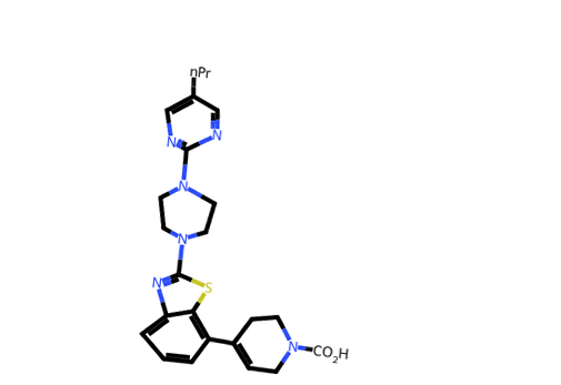 CCCc1cnc(N2CCN(c3nc4cccc(C5=CCN(C(=O)O)CC5)c4s3)CC2)nc1